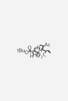 C=CC(C(=O)O)C1=C(C(C)=O)CN2C[C@H](NC(=O)OC(C)(C)C)C(=O)N12